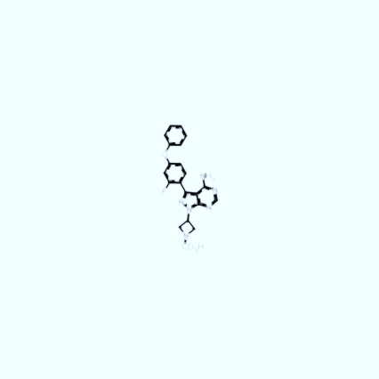 Nc1ncnc2c1c(-c1ccc(Oc3ccccc3)cc1F)nn2C1CN(C(=O)O)C1